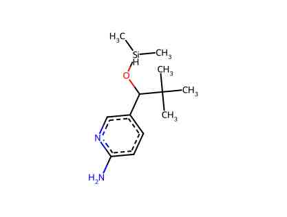 C[SiH](C)OC(c1ccc(N)nc1)C(C)(C)C